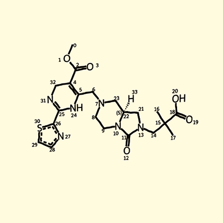 COC(=O)C1=C(CN2CCN3C(=O)N(CC(C)(C)C(=O)O)C[C@@H]3C2)NC(c2nccs2)=NC1